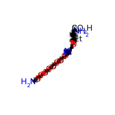 CCc1cc(OCCCCn2cc(COCCOCCOCCOCCOCCOCCOCCOCCN)nn2)ccc1-c1ccc(C[C@H](N)C(=O)O)cc1